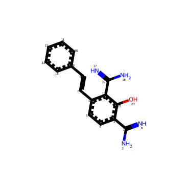 N=C(N)c1ccc(C=Cc2ccccc2)c(C(=N)N)c1O